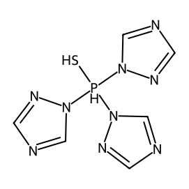 S[PH](n1cncn1)(n1cncn1)n1cncn1